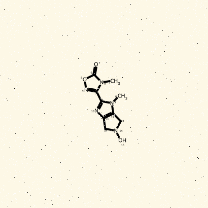 Cn1c(-c2noc(=O)n2C)nc2c1CN(O)C2